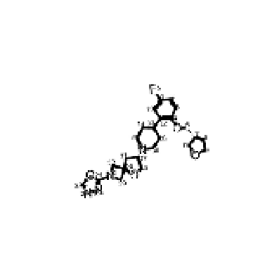 Fc1ccc(OC[C@@H]2CCOC2)c(C2CCN([C@@H]3COC4(C3)CN(c3nnco3)C4)CC2)c1